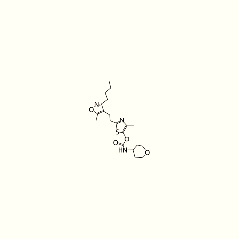 CCCCc1noc(C)c1CCc1nc(C)c(OC(=O)NC2CCOCC2)s1